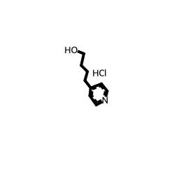 Cl.OCCCCc1ccncc1